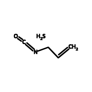 C=CCN=C=O.S